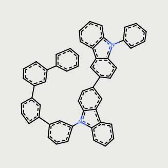 c1ccc(-c2cccc(-c3cccc(-c4cccc(-n5c6ccccc6c6cc(-c7ccc8c(c7)c7ccccc7n8-c7ccccc7)ccc65)c4)c3)c2)cc1